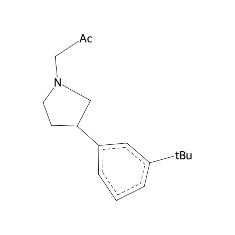 CC(=O)CN1CCC(c2cccc(C(C)(C)C)c2)C1